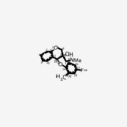 CNC[C@]1(O)COc2ccccc2[C@@H]1Oc1ccc(F)cc1C